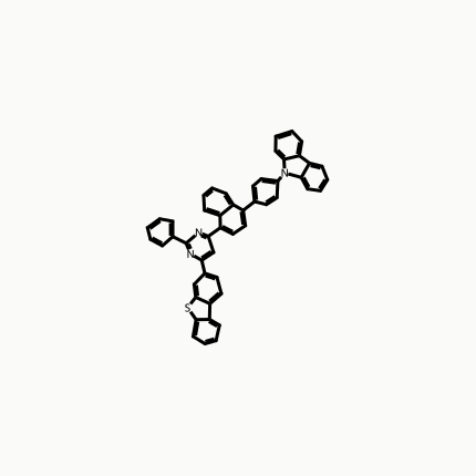 c1ccc(-c2nc(-c3ccc4c(c3)sc3ccccc34)cc(-c3ccc(-c4ccc(-n5c6ccccc6c6ccccc65)cc4)c4ccccc34)n2)cc1